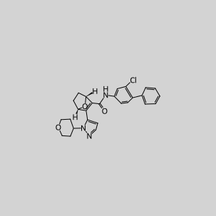 O=C(Nc1ccc(-c2ccccc2)c(Cl)c1)C1=C(c2ccnn2C2CCOCC2)[C@@H]2CC[C@H]1O2